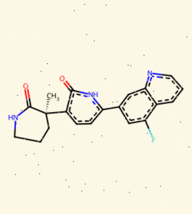 C[C@]1(c2ccc(-c3cc(F)c4cccnc4c3)[nH]c2=O)CCCNC1=O